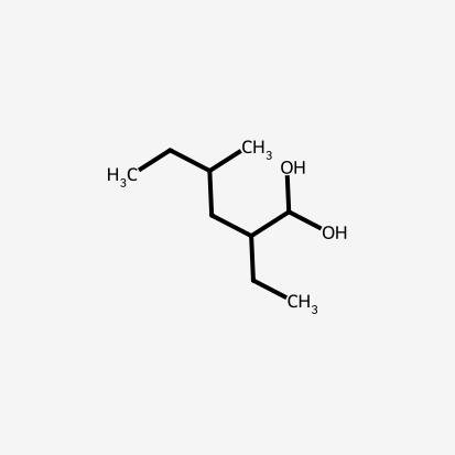 CCC(C)CC(CC)C(O)O